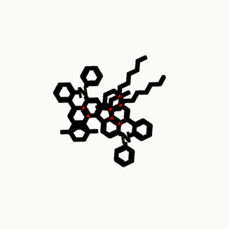 CCCCCCCCC1(CCCCCCCC)c2cc(N(c3ccccc3)c3ccccc3-c3ccc4c(c3)C3(C)CCC4(C)CC3)ccc2-c2ccc(N(c3ccccc3)c3ccccc3-c3ccc4c(c3)C3(C)CCC4(C)CC3)cc21